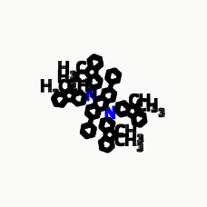 CC1(C)C2=C(C=CCC2)c2ccc(N(c3ccc4c(c3)-c3ccccc3C4(C)C)c3c4ccc(-c5ccccc5)cc4c(N(C4=CCC5C(=C4)C(C)(C)c4ccccc45)c4ccc5c(c4)C(C)(C)c4ccccc4-5)c4ccc(-c5ccccc5)cc34)cc21